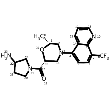 C[C@@H]1CN(c2ccc(C(F)(F)F)c3ncccc23)C[C@H](C(=O)N2CCC(N)C2)O1